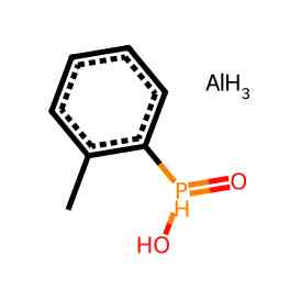 Cc1ccccc1[PH](=O)O.[AlH3]